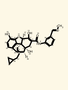 C/N=C/c1cccc(NC(=O)C2=C(O)[C@@H]3Oc4c(O)ccc5c4[C@@]34CCN(CC3CC3)[C@H](C5)[C@]4(O)C2)c1